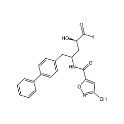 O=C(NC(Cc1ccc(-c2ccccc2)cc1)C[C@@H](O)C(=O)I)c1cc(O)no1